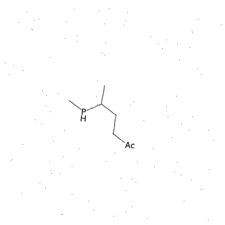 CPC(C)CCC(C)=O